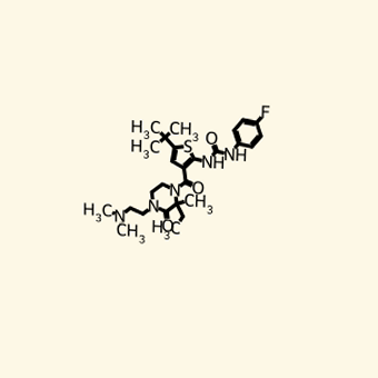 CCC1(C)C(=O)N(CCN(C)C)CCN1C(=O)c1cc(C(C)(C)C)sc1NC(=O)Nc1ccc(F)cc1